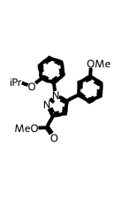 COC(=O)c1cc(-c2cccc(OC)c2)n(-c2ccccc2OC(C)C)n1